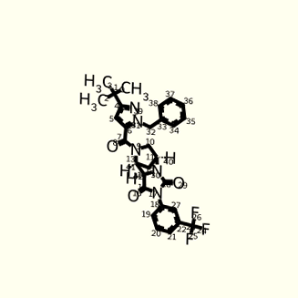 CC(C)(C)c1cc(C(=O)N2C[C@@H]3C[C@H]2[C@@H]2C(=O)N(c4cccc(C(F)(F)F)c4)C(=O)N32)n(Cc2ccccc2)n1